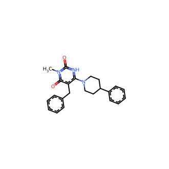 Cn1c(=O)[nH]c(N2CCC(c3ccccc3)CC2)c(Cc2ccccc2)c1=O